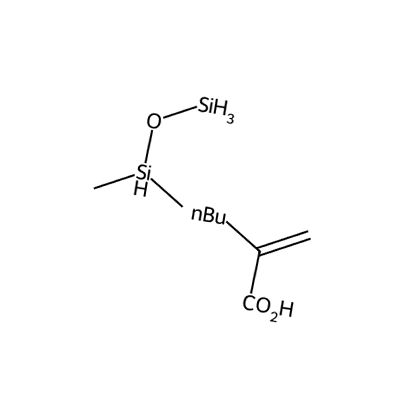 C=C(CCCC)C(=O)O.C[SiH](C)O[SiH3]